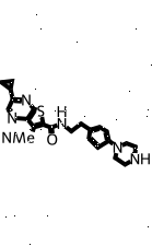 CNc1c(C(=O)NCCc2ccc(N3CCNCC3)cc2)sc2nc(C3CC3)cnc12